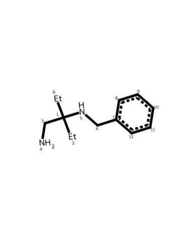 CCC(CC)(CN)NCc1ccccc1